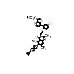 Cc1nc2cc(C(F)(F)F)c(N3CC4(C3)CN(C3CC3)C4)c(C#N)c2c(=O)n1CCOc1ccc(Cl)cc1-c1ccnc2c(C(=O)O)csc12